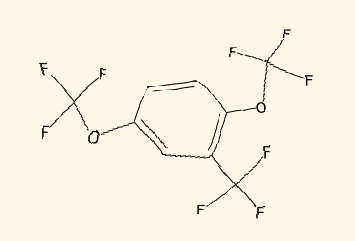 FC(F)(F)Oc1ccc(OC(F)(F)F)c(C(F)(F)F)c1